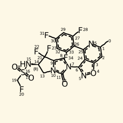 Cc1cc2onc(-n3cc4n(c3=O)C[C@@H](NS(=O)(=O)CF)C4(F)F)c2c(-c2c(F)cc(F)cc2F)n1